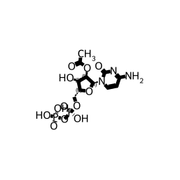 CC(=O)O[C@@H]1[C@H](O)[C@@H](COP(=O)(O)OP(=O)(O)O)O[C@H]1n1ccc(N)nc1=O